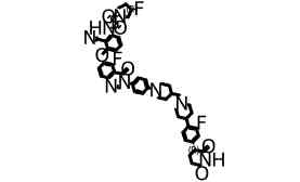 N#Cc1c(NS(=O)(=O)N2CC[C@@H](F)C2)ccc(F)c1Oc1ccc2ncn(-c3ccc(N4CCC(CN5CCC(c6ccc([C@H]7CCC(=O)NC7=O)cc6F)CC5)CC4)cc3)c(=O)c2c1